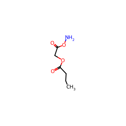 CCCC(=O)OCC(=O)ON